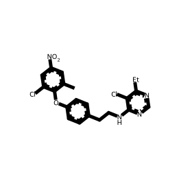 CCc1ncnc(NCCc2ccc(Oc3c(C)cc([N+](=O)[O-])cc3Cl)cc2)c1Cl